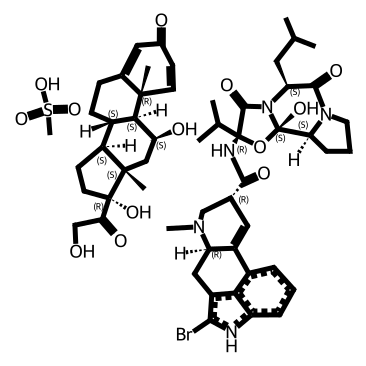 CC(C)C[C@H]1C(=O)N2CCC[C@H]2[C@]2(O)O[C@](NC(=O)[C@@H]3C=C4c5cccc6[nH]c(Br)c(c56)C[C@H]4N(C)C3)(C(C)C)C(=O)N12.CS(=O)(=O)O.C[C@]12C=CC(=O)C=C1CC[C@@H]1[C@@H]2[C@@H](O)C[C@@]2(C)[C@H]1CC[C@]2(O)C(=O)CO